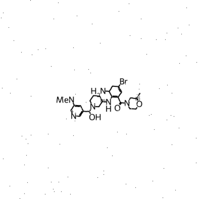 CNc1cncc(C(O)N2CCC[C@@H](NC3=C(C(=O)N4CCO[C@H](C)C4)C=C(Br)CC3N)C2)c1